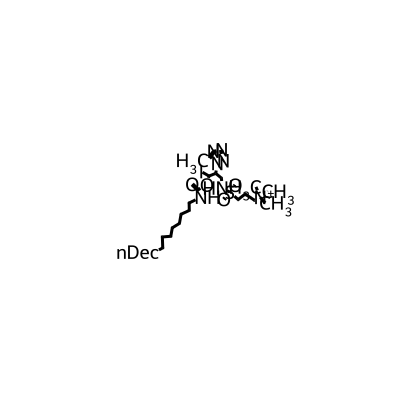 CCCCCCCCCCCCCCCCCCNC(=O)OC(I)C(CNS(=O)(=O)CCC[N+](C)(C)C)n1nnnc1C